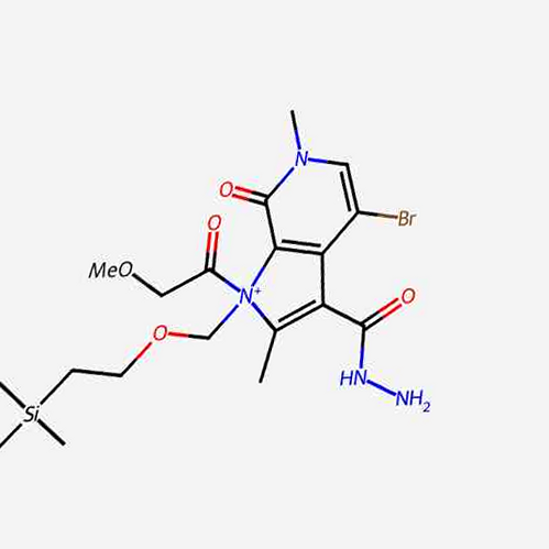 COCC(=O)[N+]1(COCC[Si](C)(C)C)C(C)=C(C(=O)NN)c2c(Br)cn(C)c(=O)c21